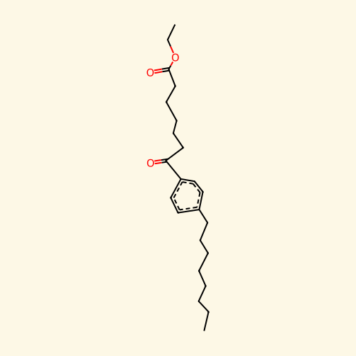 CCCCCCCCc1ccc(C(=O)CCCCCC(=O)OCC)cc1